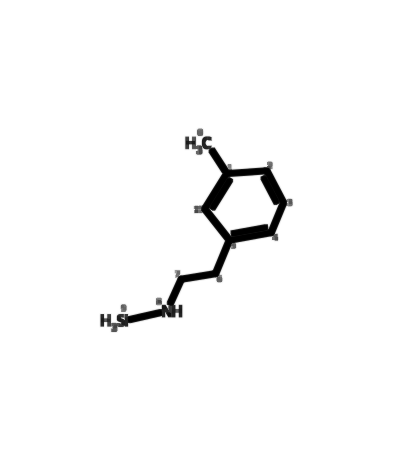 Cc1cccc(CCN[SiH3])c1